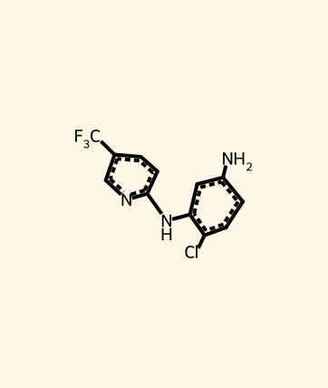 Nc1ccc(Cl)c(Nc2ccc(C(F)(F)F)cn2)c1